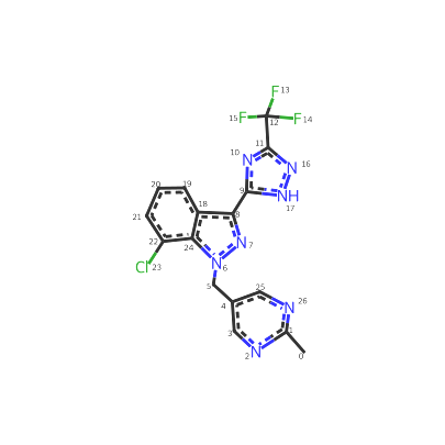 Cc1ncc(Cn2nc(-c3nc(C(F)(F)F)n[nH]3)c3cccc(Cl)c32)cn1